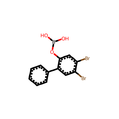 OB(O)Oc1cc(Br)c(Br)cc1-c1ccccc1